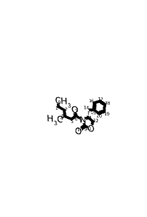 CCC[C@@H](C)CC(=O)N1C(=O)OC[C@H]1Cc1ccccc1